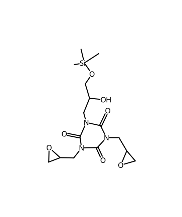 C[Si](C)(C)OCC(O)Cn1c(=O)n(CC2CO2)c(=O)n(CC2CO2)c1=O